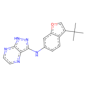 CC(C)(C)c1coc2cc(Nc3n[nH]c4nccnc34)ccc12